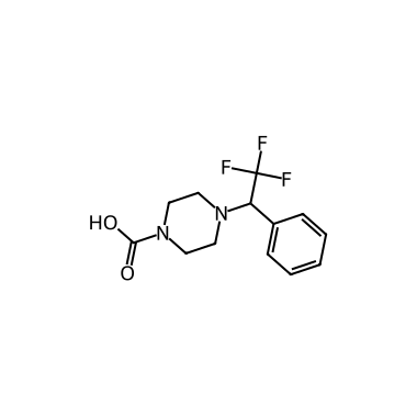 O=C(O)N1CCN(C(c2ccccc2)C(F)(F)F)CC1